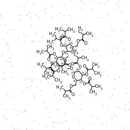 CC(C)C(=O)OC[C@H]1O[C@H](OC[C@H]2O[C@H](O[C@]3(COC(=O)C(C)C)O[C@H](COC(=O)C(C)C)[C@@H](OC(=O)C(C)C)[C@@H]3OC(=O)C(C)C)[C@H](OC(=O)C(C)C)[C@@H](OC(=O)C(C)C)[C@@H]2OC(=O)C(C)C)[C@H](OC(=O)C(C)C)[C@@H](OC(=O)C(C)C)[C@H]1OC(=O)C(C)C